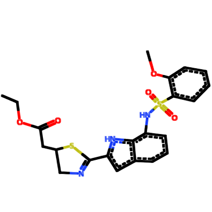 CCOC(=O)CC1CN=C(c2cc3cccc(NS(=O)(=O)c4ccccc4OC)c3[nH]2)S1